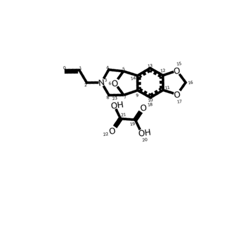 C=CCN1CC2OC(C1)c1cc3c(cc12)OCO3.O=C(O)C(=O)O